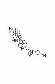 N#Cc1ccc(Cn2cncc2CNC2CCOc3c(C(=O)NC(Cc4ccc(Br)cc4)C(N)=O)cccc32)cc1